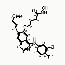 COCCOc1cc2ncnc(Nc3ccc(F)c(Cl)c3)c2cc1OCCCC(=O)NO